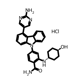 Cl.NC(=O)c1ccc(-n2c3ccccc3c3c(-c4cnc(N)nc4)cccc32)cc1N[C@H]1CC[C@H](O)CC1